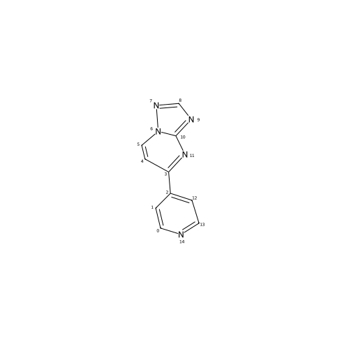 c1cc(-c2ccn3ncnc3n2)ccn1